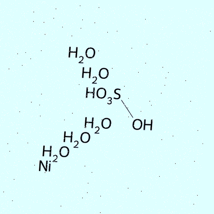 O.O.O.O.O.O=S(=O)(O)O.[Ni]